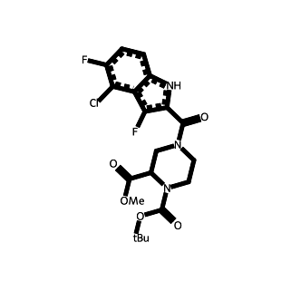 COC(=O)C1CN(C(=O)c2[nH]c3ccc(F)c(Cl)c3c2F)CCN1C(=O)OC(C)(C)C